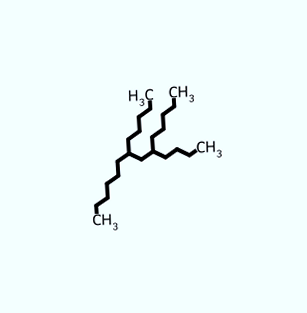 CCCCCCC(CCCCC)CC(CCCC)CCCCC